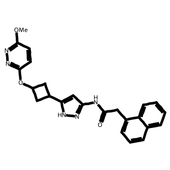 COc1ccc(OC2CC(c3cc(NC(=O)Cc4cccc5ccccc45)n[nH]3)C2)nn1